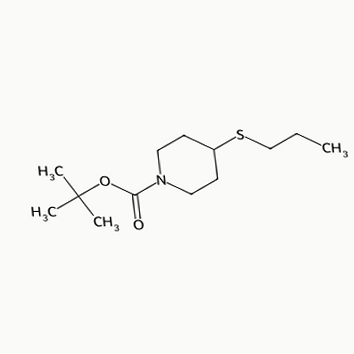 CCCSC1CCN(C(=O)OC(C)(C)C)CC1